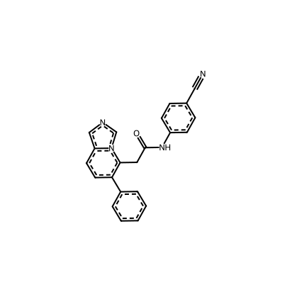 N#Cc1ccc(NC(=O)Cc2c(-c3ccccc3)ccc3cncn23)cc1